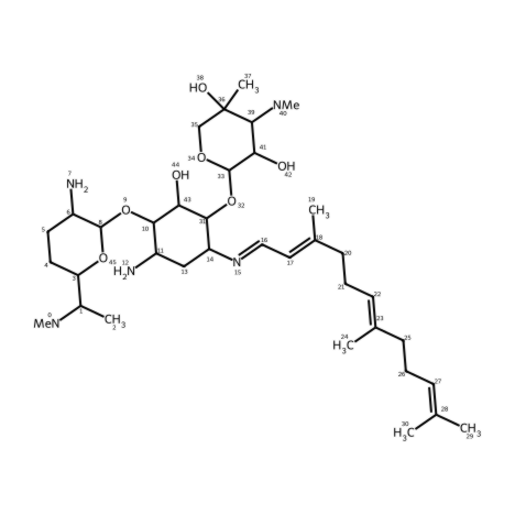 CNC(C)C1CCC(N)C(OC2C(N)CC(/N=C/C=C(\C)CC/C=C(\C)CCC=C(C)C)C(OC3OCC(C)(O)C(NC)C3O)C2O)O1